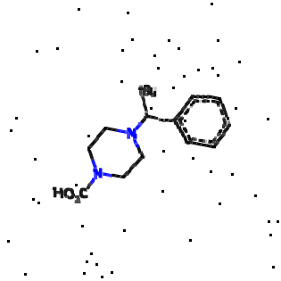 CC(C)(C)C(c1ccccc1)N1CCN(C(=O)O)CC1